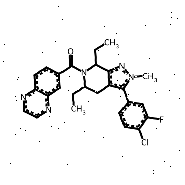 CCC1Cc2c(nn(C)c2-c2ccc(Cl)c(F)c2)C(CC)N1C(=O)c1ccc2nccnc2c1